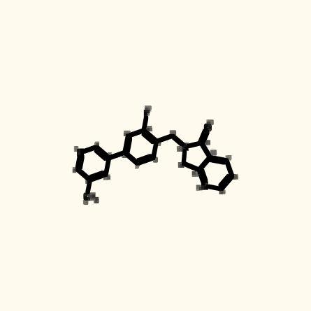 Cc1cncc(-c2ccc(CN3Cc4ncccc4C3=O)c(F)c2)c1